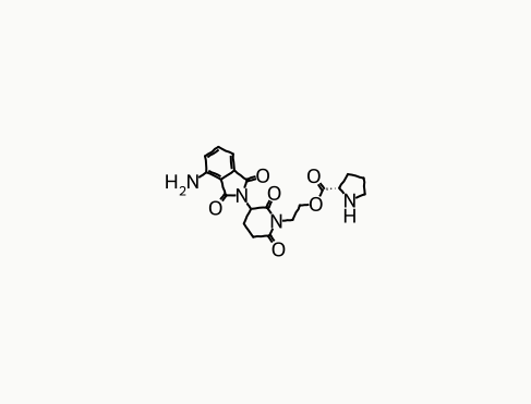 Nc1cccc2c1C(=O)N(C1CCC(=O)N(CCOC(=O)[C@@H]3CCCN3)C1=O)C2=O